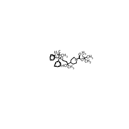 CC(C)(C)OC(=O)N1CCC(C(C)(O)CCO[Si](c2ccccc2)(c2ccccc2)C(C)(C)C)CC1